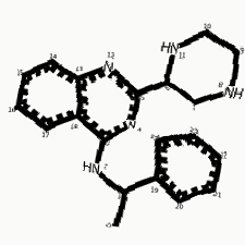 CC(Nc1nc(C2CNCCN2)nc2ccccc12)c1ccccc1